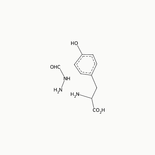 NC(Cc1ccc(O)cc1)C(=O)O.NNC=O